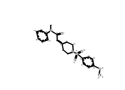 CN(C(=O)C=C1CCN(S(=O)(=O)c2ccc(OC(F)(F)F)cc2)CC1)c1ccccc1